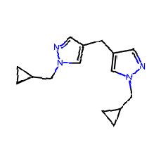 c1nn(CC2CC2)cc1Cc1cnn(CC2CC2)c1